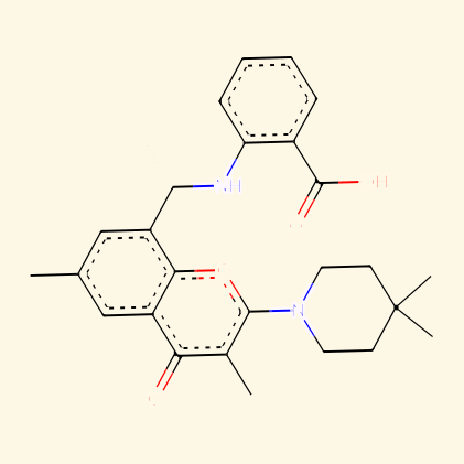 Cc1cc([C@H](C)Nc2ccccc2C(=O)O)c2oc(N3CCC(C)(C)CC3)c(C)c(=O)c2c1